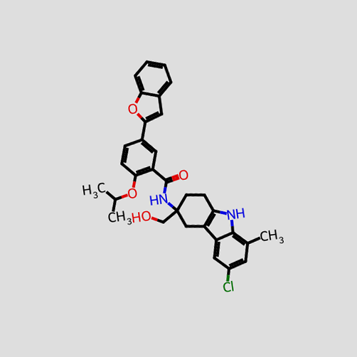 Cc1cc(Cl)cc2c3c([nH]c12)CCC(CO)(NC(=O)c1cc(-c2cc4ccccc4o2)ccc1OC(C)C)C3